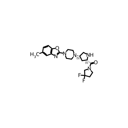 Cc1ccc2oc(N3CCN([C@@H]4CN[C@H](C(=O)N5CCC(F)(F)C5)C4)CC3)nc2c1